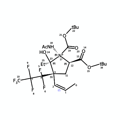 C/C=C\[C@@]1(C(F)(F)C(F)(F)C(F)(F)F)C[C@H](C(=O)OC(C)(C)C)[N@+](NC(C)=O)(C(=O)OC(C)(C)C)[C@@]1(O)CC